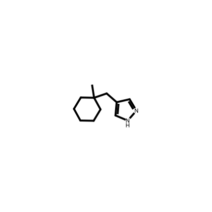 CC1(Cc2cn[nH]c2)CCCCC1